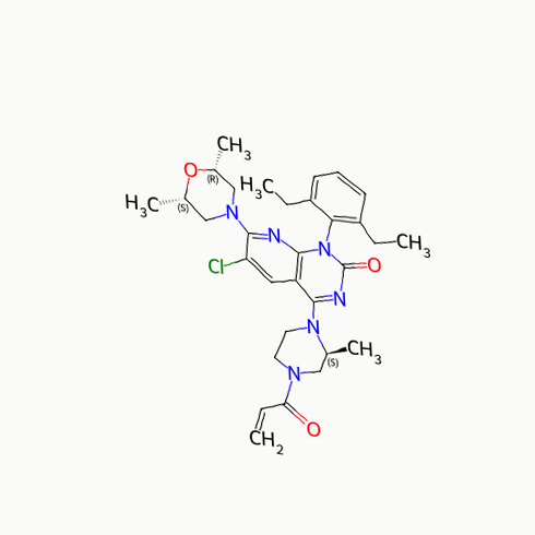 C=CC(=O)N1CCN(c2nc(=O)n(-c3c(CC)cccc3CC)c3nc(N4C[C@@H](C)O[C@@H](C)C4)c(Cl)cc23)[C@@H](C)C1